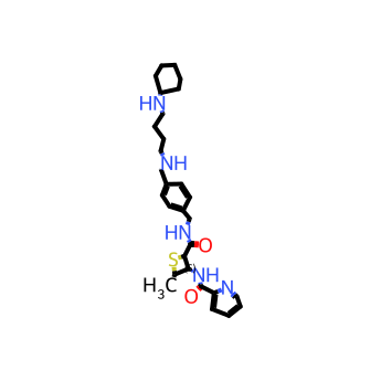 CC1SC(C(=O)NCc2ccc(CNCCCCNC3CCCCC3)cc2)[C@H]1NC(=O)c1ccccn1